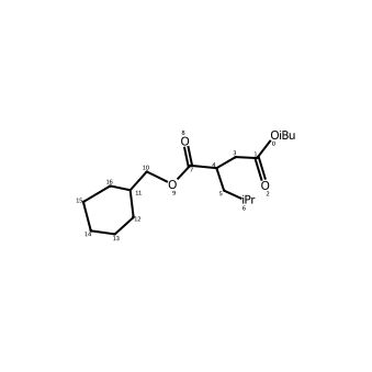 CC(C)COC(=O)CC(CC(C)C)C(=O)OCC1CCCCC1